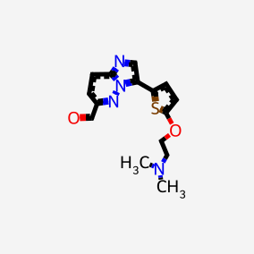 CN(C)CCOc1ccc(-c2cnc3ccc(C=O)nn23)s1